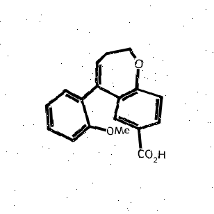 COc1ccccc1C1=CCCOc2ccc(C(=O)O)cc21